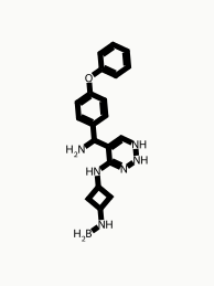 BNC1CC(NC2=NNNC=C2C(N)c2ccc(Oc3ccccc3)cc2)C1